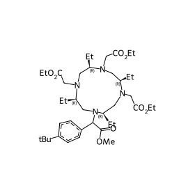 CCOC(=O)CN1C[C@@H](CC)N(CC(=O)OCC)C[C@@H](CC)N(C(C(=O)OC)c2ccc(C(C)(C)C)cc2)C[C@@H](CC)N(CC(=O)OCC)C[C@H]1CC